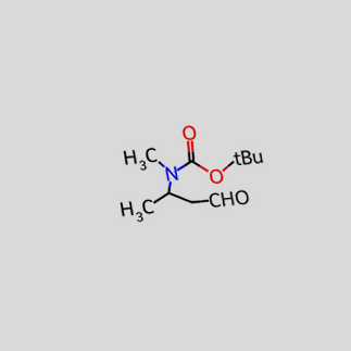 CC(CC=O)N(C)C(=O)OC(C)(C)C